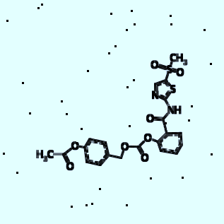 CC(=O)Oc1ccc(COC(=O)Oc2ccccc2C(=O)Nc2ncc(S(C)(=O)=O)s2)cc1